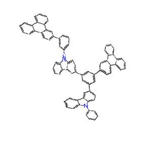 c1ccc(-n2c3ccccc3c3cc(-c4cc(-c5ccc6c7ccccc7c7ccccc7c6c5)cc(-c5ccc6c(c5)c5ccccc5n6-c5cccc(-c6ccc7c8ccccc8c8ccccc8c7c6)c5)c4)ccc32)cc1